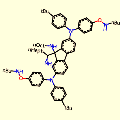 CCCCCCCCNC1(C(N)CCCCCCC)c2cc(N(c3ccc(ONCCCC)cc3)c3ccc(C(C)(C)C)cc3)ccc2-c2ccc(N(c3ccc(ONCCCC)cc3)c3ccc(C(C)(C)C)cc3)cc21